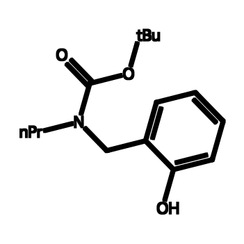 CCCN(Cc1ccccc1O)C(=O)OC(C)(C)C